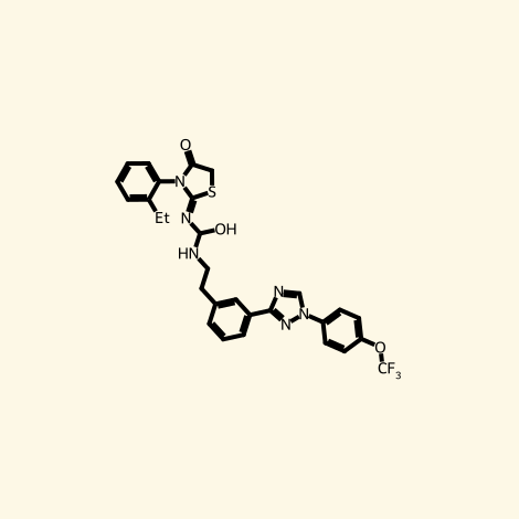 CCc1ccccc1N1C(=O)CS/C1=N\C(O)NCCc1cccc(-c2ncn(-c3ccc(OC(F)(F)F)cc3)n2)c1